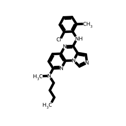 CCCCN(C)c1ccc2nc(Nc3c(C)cccc3Cl)c3cncn3c2n1